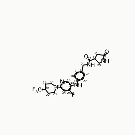 O=C1CC(C(=O)NCc2ccc(Nc3cnc(N4CCC(C(F)(F)F)CC4)cc3F)cc2)CN1